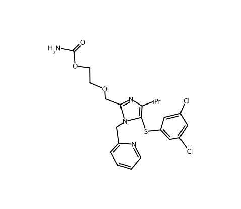 CC(C)c1nc(COCCOC(N)=O)n(Cc2ccccn2)c1Sc1cc(Cl)cc(Cl)c1